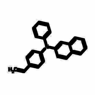 C=Cc1ccc(N(c2ccccc2)c2ccc3ccccc3c2)cc1